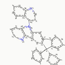 c1ccc(C2(c3ccccc3)c3ccccc3-c3cc4c(cc32)c2ncccc2n4-c2ccnc3ccccc23)cc1